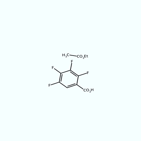 CCOC(C)=O.O=C(O)c1cc(F)c(F)c(F)c1F